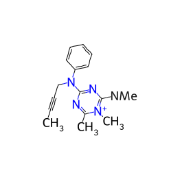 CC#CCN(c1ccccc1)c1nc(C)[n+](C)c(NC)n1